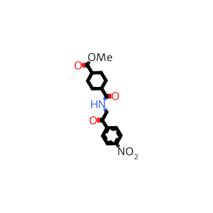 COC(=O)C1CCC(C(=O)NCC(=O)c2ccc([N+](=O)[O-])cc2)CC1